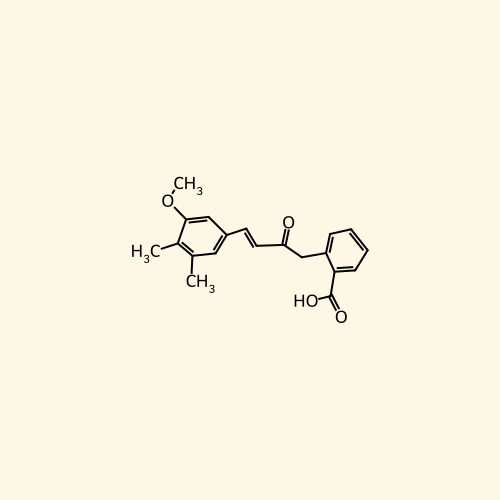 COc1cc(/C=C/C(=O)Cc2ccccc2C(=O)O)cc(C)c1C